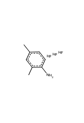 Cc1ccc(N)c(C)c1.F.F.F